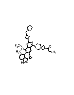 C=CC(=O)N1CC2(CCN(c3nc(N4CC(CN5CCCC5)C4)nc4c(OCC(F)(F)F)c(-c5c(C)ccc6[nH]ncc56)c(C5CC5)cc34)CC2)C1